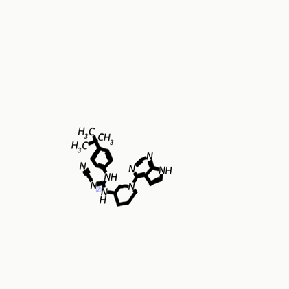 CC(C)(C)c1ccc(N/C(=N\C#N)NC2CCCN(c3ncnc4[nH]ccc34)C2)cc1